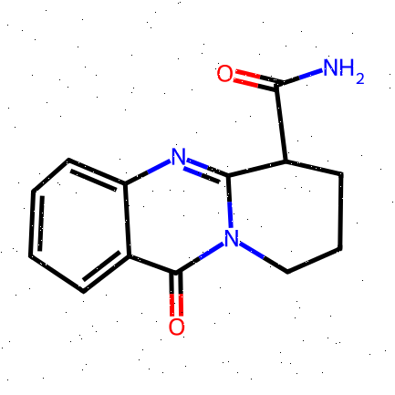 NC(=O)C1CCCn2c1nc1ccccc1c2=O